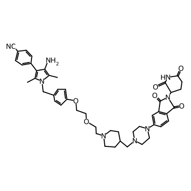 Cc1c(N)c(-c2ccc(C#N)cc2)c(C)n1Cc1ccc(OCCOCCN2CCC(CN3CCN(c4ccc5c(c4)C(=O)N(C4CCC(=O)NC4=O)C5=O)CC3)CC2)cc1